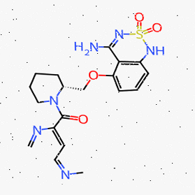 C=N/C(=C\C=N/C)C(=O)N1CCCC[C@@H]1COc1cccc2c1C(N)=NS(=O)(=O)N2